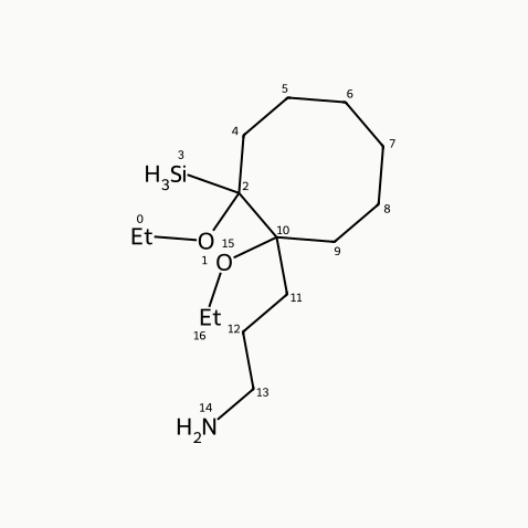 CCOC1([SiH3])CCCCCCC1(CCCN)OCC